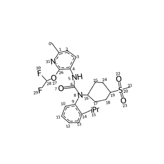 Cc1ccc(NC(=O)N(c2ccccc2C(C)C)C2CCC(S(C)(=O)=O)CC2)c(OC(F)F)n1